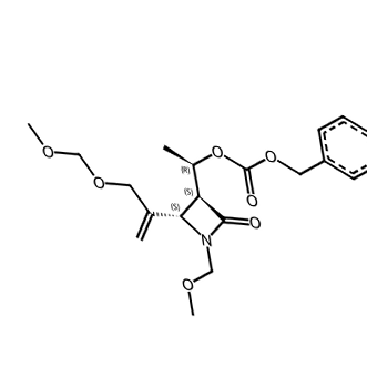 C=C(COCOC)[C@@H]1[C@@H]([C@@H](C)OC(=O)OCc2ccccc2)C(=O)N1COC